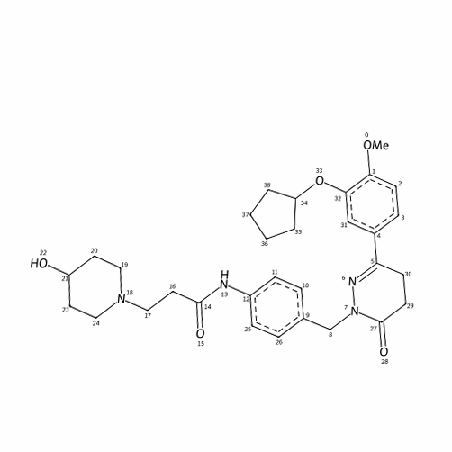 COc1ccc(C2=NN(Cc3ccc(NC(=O)CCN4CCC(O)CC4)cc3)C(=O)CC2)cc1OC1CCCC1